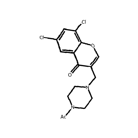 CC(=O)N1CCN(Cc2coc3c(Cl)cc(Cl)cc3c2=O)CC1